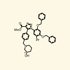 COC(=O)c1nnn(-c2cc(C(C)C)c(OCc3ccccc3)cc2OCc2ccccc2)c1-c1ccc(CN2CCC[C@@H](O)C2)cc1